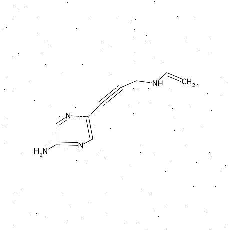 C=CNCC#Cc1cnc(N)cn1